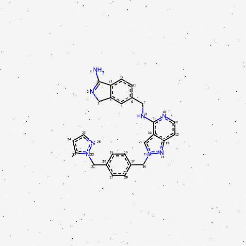 NC1=NCc2cc(CNc3nccc4nn(Cc5ccc(Cn6cccn6)cc5)cc34)ccc21